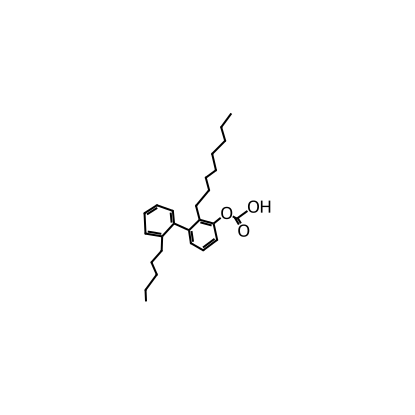 CCCCCCCCc1c(OC(=O)O)cccc1-c1ccccc1CCCCC